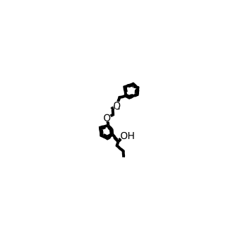 CCCC(O)c1cccc(OCCOCc2ccccc2)c1